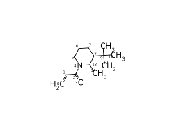 C=CC(=O)N1CCCC(C(C)(C)C)C1C